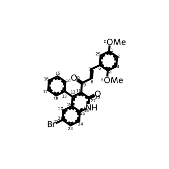 COc1ccc(OC)c(/C=C/C(=O)c2c(-c3ccccc3)c3cc(Br)ccc3[nH]c2=O)c1